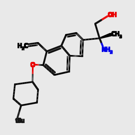 C=Cc1c(OC2CCC(C(C)(C)C)CC2)ccc2cc([C@@](C)(N)CO)ccc12